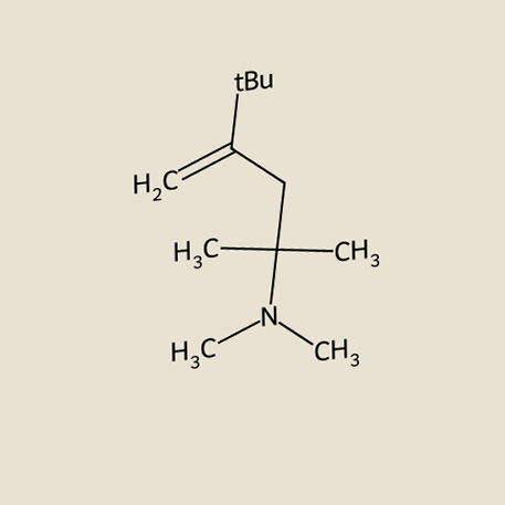 C=C(CC(C)(C)N(C)C)C(C)(C)C